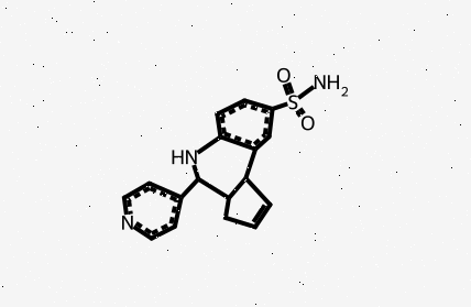 NS(=O)(=O)c1ccc2c(c1)C1C=CCC1C(c1ccncc1)N2